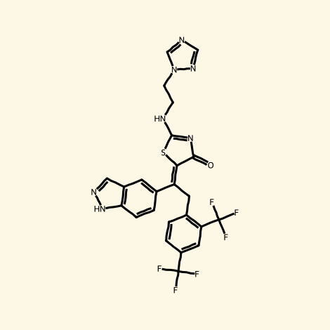 O=C1N=C(NCCn2cncn2)SC1=C(Cc1ccc(C(F)(F)F)cc1C(F)(F)F)c1ccc2[nH]ncc2c1